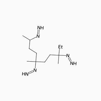 CCC(C)(CCC(C)(CCC(C)N=N)N=N)N=N